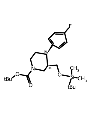 CC(C)(C)OC(=O)N1CC[C@@H](c2ccc(F)cc2)[C@@H](CO[Si](C)(C)C(C)(C)C)C1